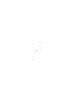 COCCCOC(C)CC1OCCN(CCCOC(C)C)[C@H]1C